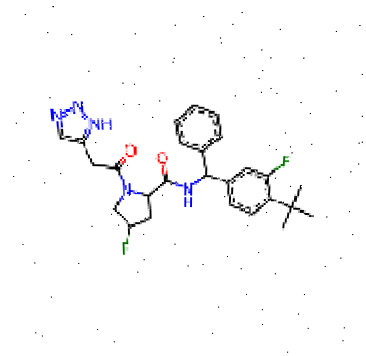 CC(C)(C)c1ccc(C(NC(=O)C2CC(F)CN2C(=O)Cc2cnn[nH]2)c2ccccc2)cc1F